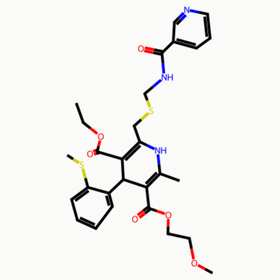 CCOC(=O)C1=C(CSCNC(=O)c2cccnc2)NC(C)=C(C(=O)OCCOC)C1c1ccccc1SC